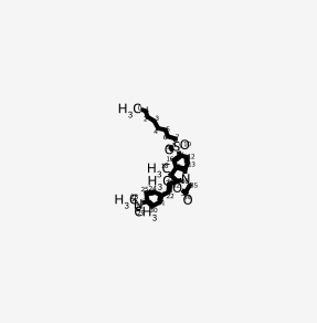 CCCCCCCCS(=O)(=O)c1ccc2c(c1)C(C)(C)C1(C=Cc3ccc(N(C)C)cc3)OC(=O)CN21